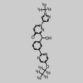 [2H]C([2H])([2H])n1cc(-n2ccc(=O)c(C(O)c3cccc(-c4ncc(OC([2H])([2H])C([2H])([2H])[2H])cn4)c3)n2)cn1